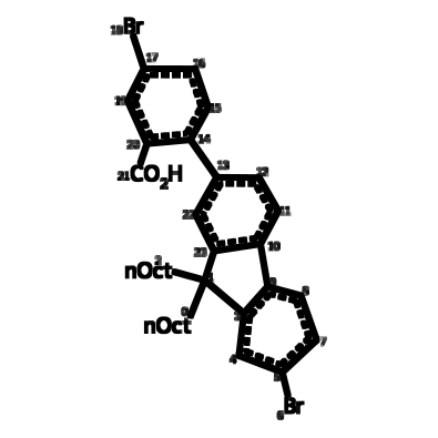 CCCCCCCCC1(CCCCCCCC)c2cc(Br)ccc2-c2ccc(-c3ccc(Br)cc3C(=O)O)cc21